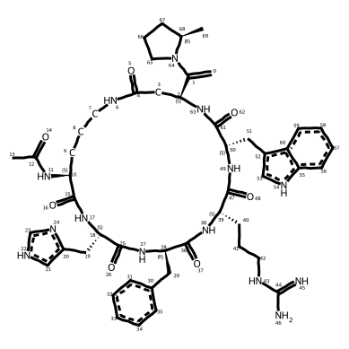 C=C([C@@H]1CC(=O)NCCC[C@H](NC(C)=O)C(=O)N[C@@H](Cc2c[nH]cn2)C(=O)N[C@H](Cc2ccccc2)C(=O)N[C@@H](CCCNC(=N)N)C(=O)N[C@@H](Cc2c[nH]c3ccccc23)C(=O)N1)N1CCC[C@H]1C